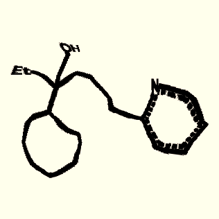 CCC(O)(CCc1ccccn1)C1CCCCC1